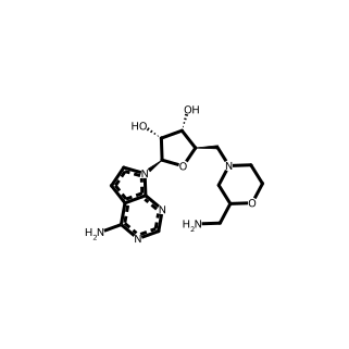 NCC1CN(C[C@H]2O[C@@H](n3ccc4c(N)ncnc43)[C@H](O)[C@@H]2O)CCO1